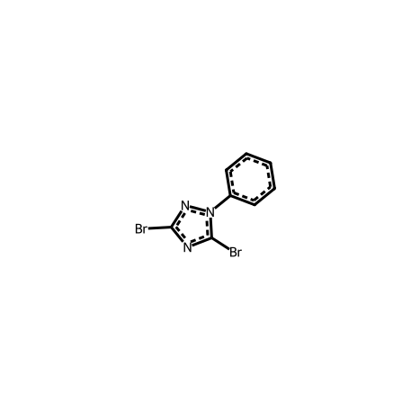 Brc1nc(Br)n(-c2ccccc2)n1